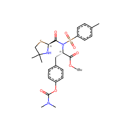 Cc1ccc(S(=O)(=O)N(C(=O)[C@H]2NC(C)(C)CS2)[C@@H](Cc2ccc(OC(=O)N(C)C)cc2)C(=O)OC(C)(C)C)cc1